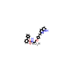 O=C(N[C@@H](CCO[C@H]1C[C@H](CCc2ccc3c(n2)NCCC3)C1)C(=O)O)O[C@@H]1CCCC[C@H]1c1ccccc1